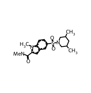 CNC(=O)c1cc2cc(S(=O)(=O)N3CC(C)CC(C)C3)ccc2n1C